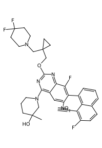 C#Cc1c(F)ccc2cccc(-c3c([N+](=O)[O-])cc4c(N5CCCC(C)(O)C5)nc(OCC5(CN6CCC(F)(F)CC6)CC5)nc4c3F)c12